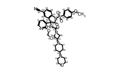 CCOc1ncccc1C1(NC(=O)N2CC(N3CCC(N4CCOCC4)CC3)C2)C(=O)N(S(=O)(=O)c2ccc(OC)cc2)c2ccc(C#N)cc21